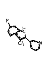 N#Cc1c(-c2cccnc2)[nH]c2cc(F)ccc12